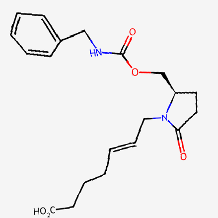 O=C(O)CCCC=CCN1C(=O)CC[C@@H]1COC(=O)NCc1ccccc1